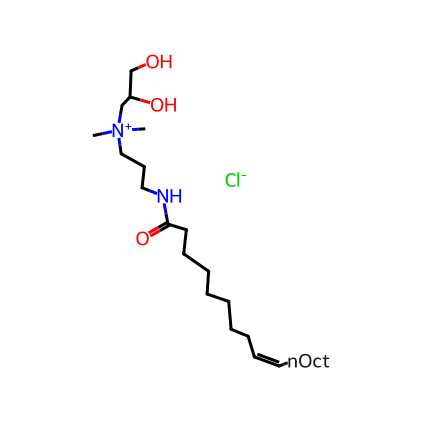 CCCCCCCC/C=C\CCCCCCCC(=O)NCCC[N+](C)(C)CC(O)CO.[Cl-]